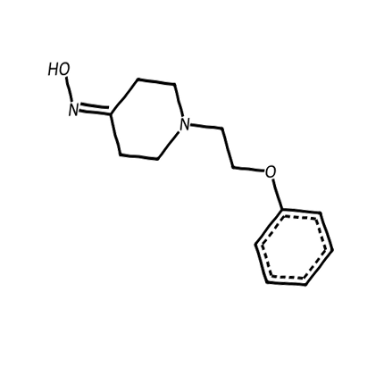 ON=C1CCN(CCOc2ccccc2)CC1